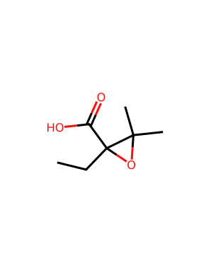 CCC1(C(=O)O)OC1(C)C